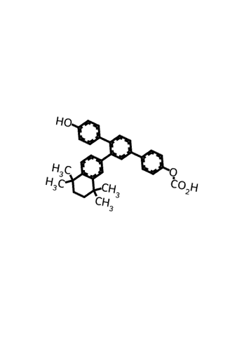 CC1(C)CCC(C)(C)c2cc(-c3cc(-c4ccc(OC(=O)O)cc4)ccc3-c3ccc(O)cc3)ccc21